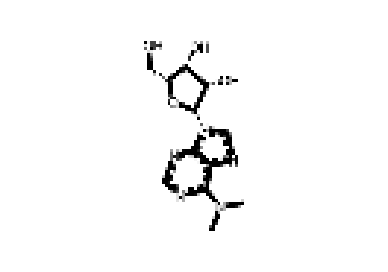 CN(C)c1ncnc2c1ncn2[C@@H]1O[C@H](CO)[C@H](O)[C@@H]1O